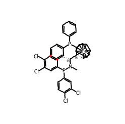 C[C@@H](N(C)P(c1ccc(Cl)c(Cl)c1)c1ccc(Cl)c(Cl)c1)[C@@]12[CH]3[CH]4[CH]5[C]1(P(c1ccccc1)c1ccccc1)[Fe]45321678[CH]2[CH]1[CH]6[CH]7[CH]28